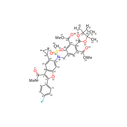 CNC(=O)c1c(-c2ccc(F)cc2)oc2cc(N(Cc3cc(C(=O)OC)c(B4OC(C)(C)C(C)(C)O4)c(C(=O)OC)c3)S(C)(=O)=O)c(C3CC3)cc12